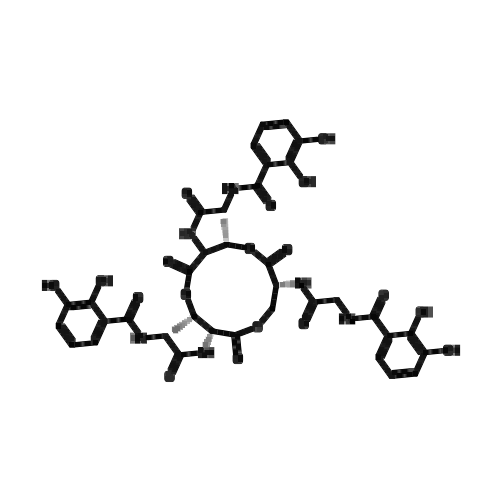 C[C@@H]1OC(=O)[C@H](NC(=O)CNC(=O)c2cccc(O)c2O)COC(=O)[C@H](NC(=O)CNC(=O)c2cccc(O)c2O)[C@H](C)OC(=O)C1NC(=O)CNC(=O)c1cccc(O)c1O